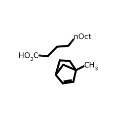 CC12C=CC(CC1)C2.CCCCCCCCCCCC(=O)O